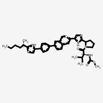 CCCC[C@H](C)c1ncc(-c2ccc(-c3ccc4cc(-c5cnc(C6CCCN6C(=O)[C@@H](NC(=O)OC)C(C)C)[nH]5)ccc4c3)cc2)[nH]1